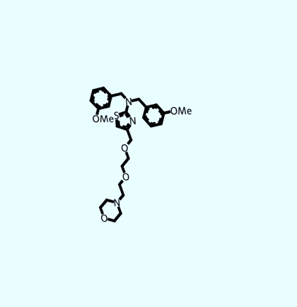 COc1cccc(CN(Cc2cccc(OC)c2)c2nc(COCCOCCN3CCOCC3)cs2)c1